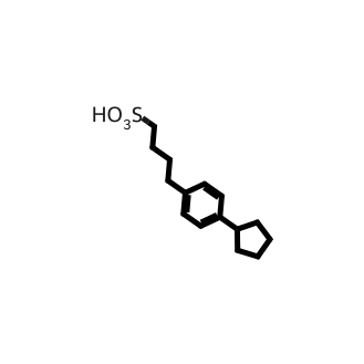 O=S(=O)(O)CCCCc1ccc(C2CCCC2)cc1